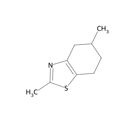 Cc1nc2c(s1)CCC(C)C2